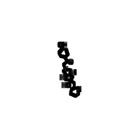 O=C(CN1C[C@@H]2C[C@](O)(Cc3ccccn3)C[C@@H]2C1)c1ccc(O)cc1